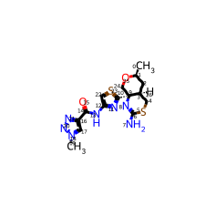 C[C@H]1C[C@H]2CSC(N)=N[C@@]2(c2nc(NC(=O)c3cn(C)nn3)cs2)CO1